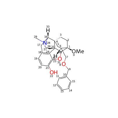 CO[C@]12CC[C@@]3(C[C@H]1COCc1ccccc1)[C@H]1Cc4ccc(O)c5c4[C@@]3(CCN1C)C2O5